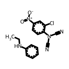 CCNc1ccccc1.N#CN(C#N)c1ccc([N+](=O)[O-])cc1Cl